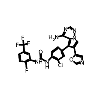 Nc1ncnn2cc(-c3cnco3)c(-c3ccc(NC(=O)Nc4cc(C(F)(F)F)ccc4F)c(Cl)c3)c12